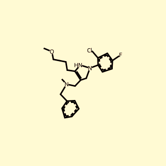 COCCCC1=C(CN(C)Cc2ccccc2)CN(c2ccc(F)cc2Cl)N1